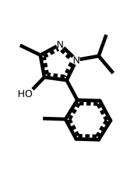 Cc1ccccc1-c1c(O)c(C)nn1C(C)C